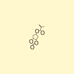 C=C(C)C(=O)OC1CC2OC(=O)OC2C1